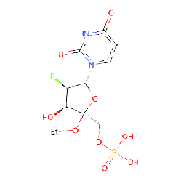 CCO[C@]1(COP(=O)(O)O)O[C@@H](n2ccc(=O)[nH]c2=O)[C@H](F)[C@@H]1O